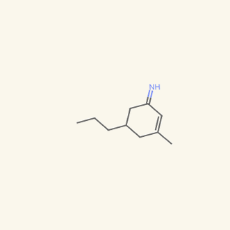 CCCC1CC(=N)C=C(C)C1